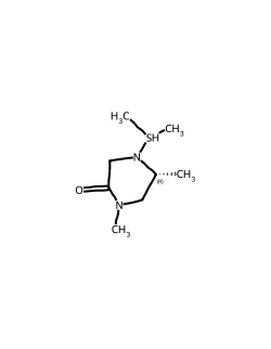 C[C@@H]1CN(C)C(=O)CN1[SH](C)C